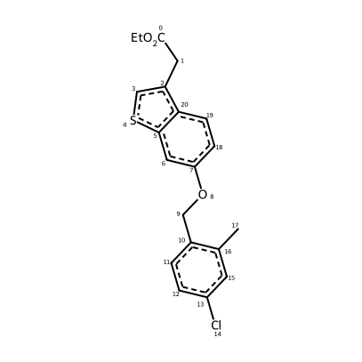 CCOC(=O)Cc1csc2cc(OCc3ccc(Cl)cc3C)ccc12